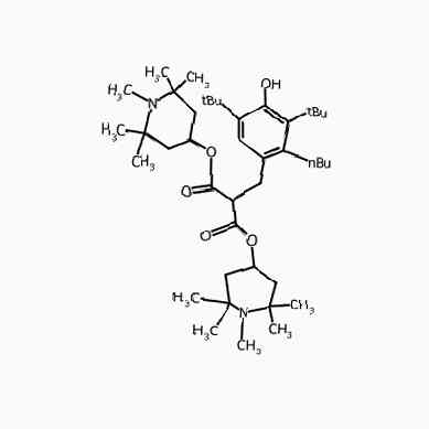 CCCCc1c(CC(C(=O)OC2CC(C)(C)N(C)C(C)(C)C2)C(=O)OC2CC(C)(C)N(C)C(C)(C)C2)cc(C(C)(C)C)c(O)c1C(C)(C)C